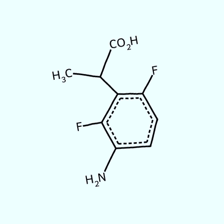 CC(C(=O)O)c1c(F)ccc(N)c1F